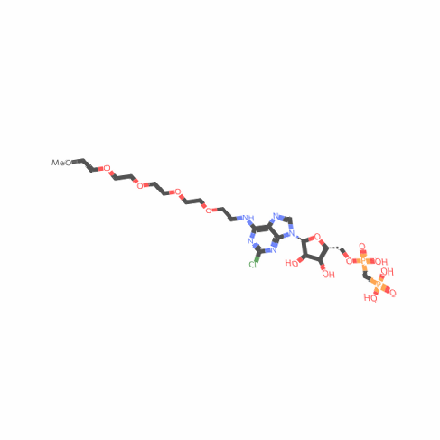 COCCOCCOCCOCCOCCNc1nc(Cl)nc2c1ncn2[C@@H]1O[C@H](COP(=O)(O)CP(=O)(O)O)C(O)C1O